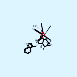 C/C1=C/[C@@H](C)C/C=C/[C@H]2[C@@H]3O[C@]3(C)[C@@H](C)[C@H]3[C@H](Cc4c[nH]c5ccccc45)NC(=O)[C@]32C(=O)/C=C\C(=O)[C@@H]1O